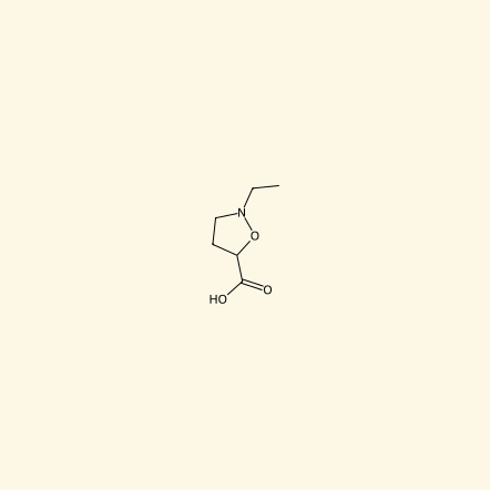 CCN1CCC(C(=O)O)O1